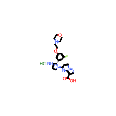 Cl.N.O=C(O)c1cnn2ccc(N3CCC[C@@H]3c3cc(F)cc(OCCN4CCOCC4)c3)nc12